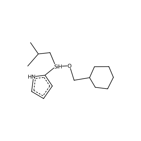 CC(C)C[SiH](OCC1CCCCC1)c1ccc[nH]1